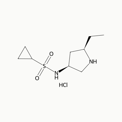 CC[C@@H]1C[C@H](NS(=O)(=O)C2CC2)CN1.Cl